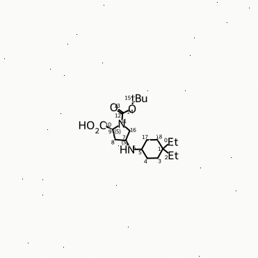 CCC1(CC)CCC(N[C@H]2C[C@@H](C(=O)O)N(C(=O)OC(C)(C)C)C2)CC1